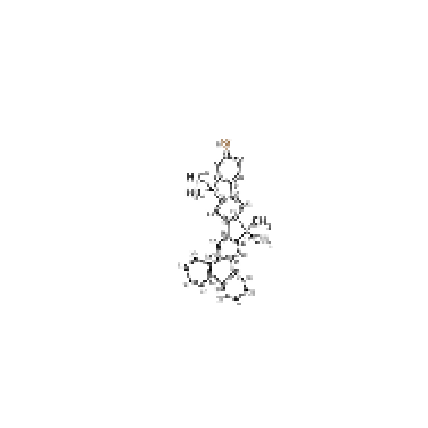 CC1(C)c2cc(Br)ccc2-c2cc3c(cc21)-c1cc2c4ccccc4c4ccccc4c2cc1C3(C)C